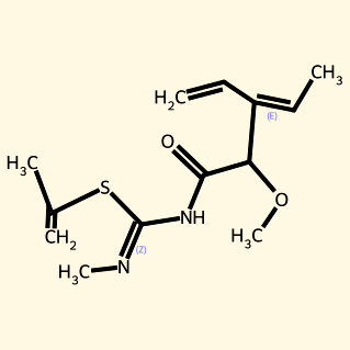 C=C/C(=C\C)C(OC)C(=O)N/C(=N/C)SC(=C)C